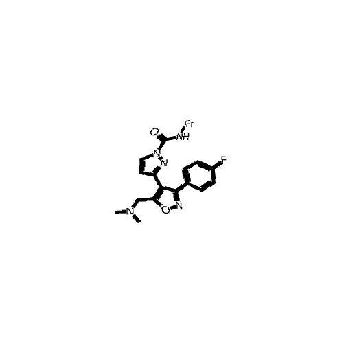 CC(C)NC(=O)n1ccc(-c2c(-c3ccc(F)cc3)noc2CN(C)C)n1